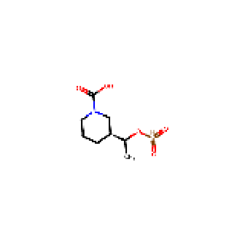 CC(O[SH](=O)=O)[C@H]1CCCN(C(=O)O)C1